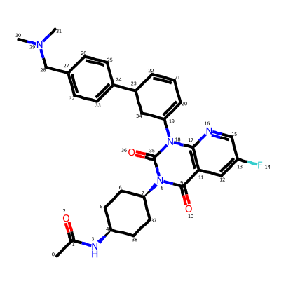 CC(=O)N[C@H]1CC[C@@H](n2c(=O)c3cc(F)cnc3n(C3=CC=CC(c4ccc(CN(C)C)cc4)C3)c2=O)CC1